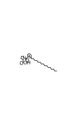 CCCCCCCCCCCCCCCCN1CCCC1C(=O)N1CCCC1C(=O)O